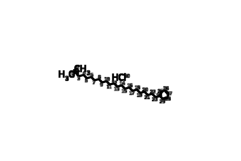 CN(C)CCCCCCCCCCCCCCCCCCCCCc1ccccc1.Cl